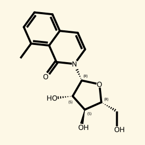 Cc1cccc2ccn([C@@H]3O[C@H](CO)[C@@H](O)[C@@H]3O)c(=O)c12